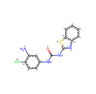 Nc1cc(NC(=O)Nc2nc3ccccc3s2)ccc1Cl